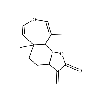 C=C1C(=O)OC2C1CCC1(C)C=COC=C(C)C21